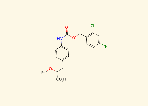 CC(C)OC(Cc1ccc(NC(=O)OCc2ccc(F)cc2Cl)cc1)C(=O)O